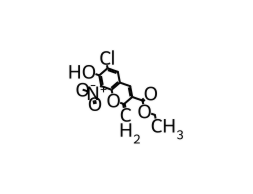 C=C1Oc2c(cc(Cl)c(O)c2[N+](=O)[O-])C=C1C(=O)OCC